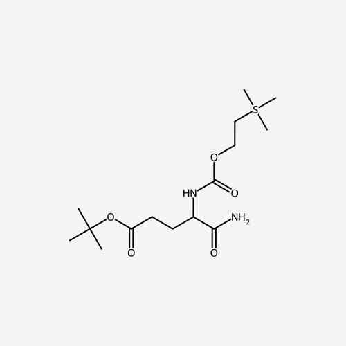 CC(C)(C)OC(=O)CCC(NC(=O)OCCS(C)(C)C)C(N)=O